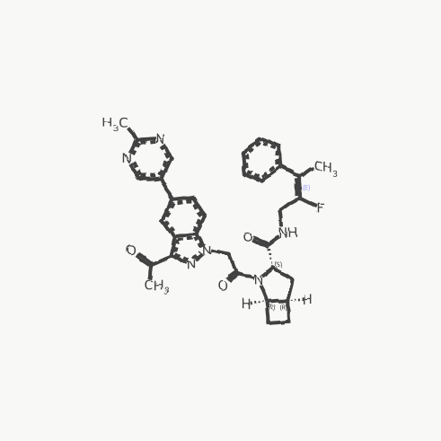 CC(=O)c1nn(CC(=O)N2[C@@H]3CC[C@@H]3C[C@H]2C(=O)NC/C(F)=C(/C)c2ccccc2)c2ccc(-c3cnc(C)nc3)cc12